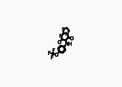 O=C1N=C2SCCN2C(=O)C1Nc1ccc(OC(F)(F)F)cc1